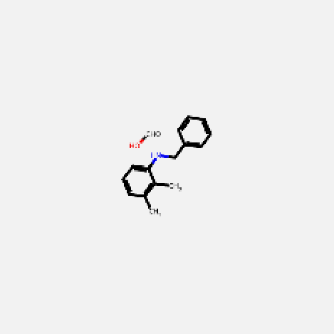 Cc1cccc(NCc2ccccc2)c1C.O=CO